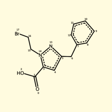 O=C(O)c1cc(Cc2ccccc2)nn1CCBr